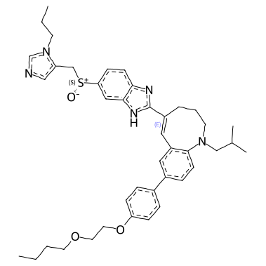 CCCCOCCOc1ccc(-c2ccc3c(c2)/C=C(/c2nc4ccc([S@+]([O-])Cc5cncn5CCC)cc4[nH]2)CCCN3CC(C)C)cc1